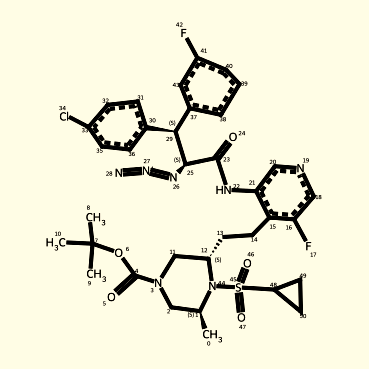 C[C@H]1CN(C(=O)OC(C)(C)C)C[C@H](CCc2c(F)cncc2NC(=O)[C@@H](N=[N+]=[N-])[C@@H](c2ccc(Cl)cc2)c2cccc(F)c2)N1S(=O)(=O)C1CC1